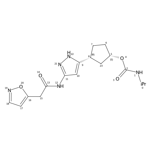 CC(C)NC(=O)O[C@H]1CC[C@@H](c2cc(NC(=O)Cc3ccno3)n[nH]2)C1